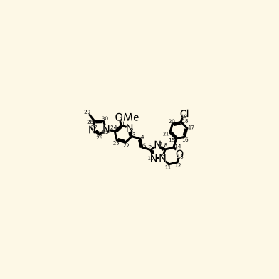 COc1nc(C=Cc2nc3n(n2)CCOC3c2ccc(Cl)cc2)ccc1-n1cnc(C)c1